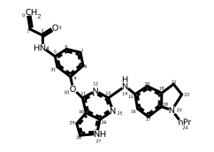 C=CC(=O)Nc1cccc(Oc2nc(Nc3ccc4c(c3)CCN4CCC)nc3[nH]ccc23)c1